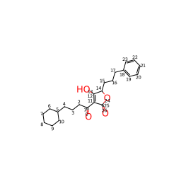 O=C(CCCC1CCCCC1)C1=C(O)C(CCCc2ccccc2)OC1=O